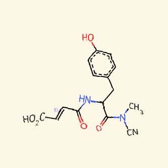 CN(C#N)C(=O)C(Cc1ccc(O)cc1)NC(=O)/C=C/C(=O)O